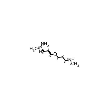 CNCCCO/C=C/C=[PH](/C)N